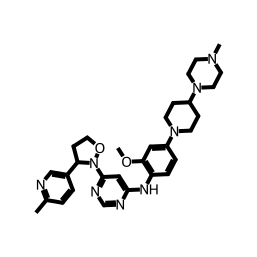 COc1cc(N2CCC(N3CCN(C)CC3)CC2)ccc1Nc1cc(N2OCCC2c2ccc(C)nc2)ncn1